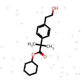 CC(C)(C(=O)OC1CCCCC1)c1ccc(CCO)cc1